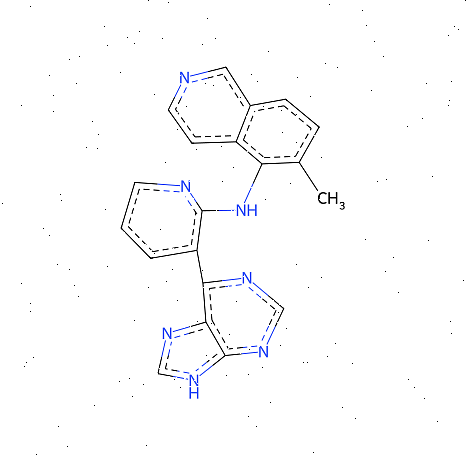 Cc1ccc2cnccc2c1Nc1ncccc1-c1ncnc2[nH]cnc12